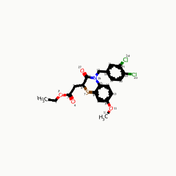 CCOC(=O)CC1Sc2cc(OC)ccc2N(Cc2ccc(Cl)c(Cl)c2)C1=O